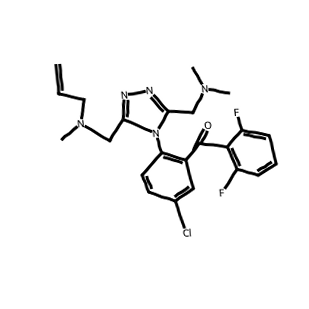 C=CCN(C)Cc1nnc(CN(C)C)n1-c1ccc(Cl)cc1C(=O)c1c(F)cccc1F